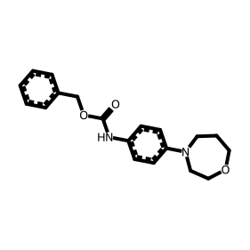 O=C(Nc1ccc(N2CCCOCC2)cc1)OCc1ccccc1